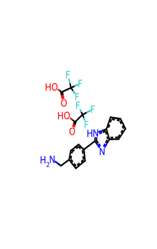 NCc1ccc(-c2nc3ccccc3[nH]2)cc1.O=C(O)C(F)(F)F.O=C(O)C(F)(F)F